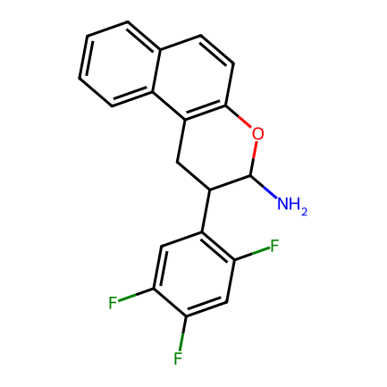 NC1Oc2ccc3ccccc3c2CC1c1cc(F)c(F)cc1F